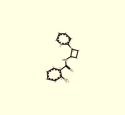 O=C(NC1CC[C@@H]1c1ccccn1)c1ccccc1C(F)(F)F